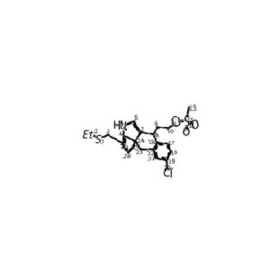 CCSCC1=C2NC=C3C(CCOS(C)(=O)=O)c4ccc(Cl)cc4CC32CC=C1